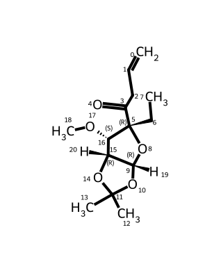 C=CCC(=O)[C@]1(CC)O[C@@H]2OC(C)(C)O[C@@H]2[C@@H]1OC